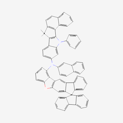 CC1(C)c2ccc3ccccc3c2-c2c1c1ccc(N(c3ccc4ccccc4c3)c3cccc4oc5cc6c(cc5c34)-c3ccccc3C63c4ccccc4-c4ccccc43)cc1n2-c1ccccc1